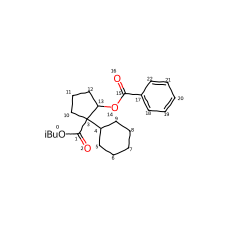 CC(C)COC(=O)C1(C2CCCCC2)CCCC1OC(=O)c1ccccc1